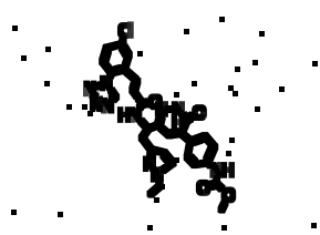 CCn1ccc(CC(NC(=O)/C=C/c2cc(Cl)ccc2-n2cnnn2)c2cc(-c3ccc(NC(=O)OC)cc3)c(=O)[nH]n2)n1